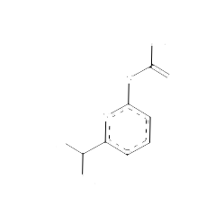 CC(=O)Nc1cccc(C(C)C)n1